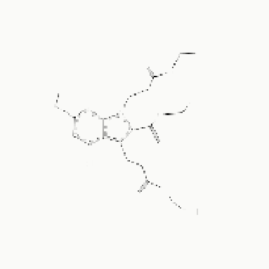 CCOC(=O)CCc1c(C(=O)OCC)n(CCC(=O)OCC)c2cc(CI)cc(Cl)c12